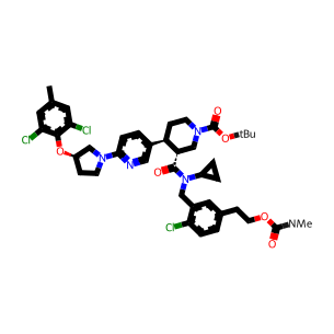 CNC(=O)OCCc1ccc(Cl)c(CN(C(=O)[C@H]2CN(C(=O)OC(C)(C)C)CC[C@@H]2c2ccc(N3CC[C@@H](Oc4c(Cl)cc(C)cc4Cl)C3)nc2)C2CC2)c1